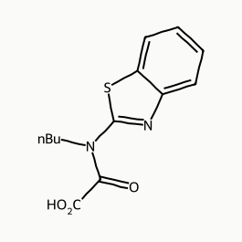 CCCCN(C(=O)C(=O)O)c1nc2ccccc2s1